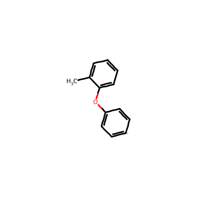 Cc1ccccc1Oc1cc[c]cc1